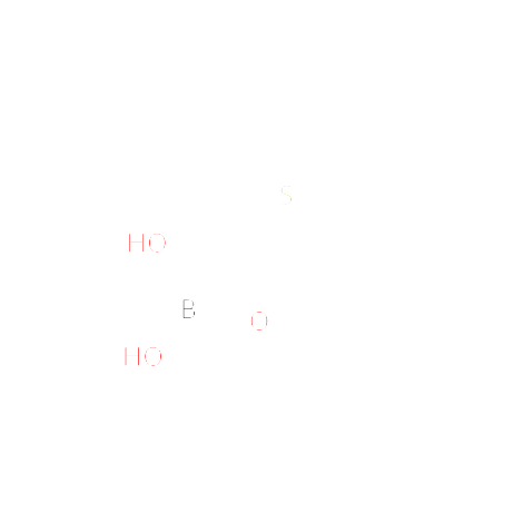 Cc1ccsc1OB(O)O